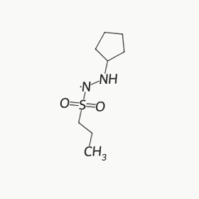 CCCS(=O)(=O)[N]NC1CCCC1